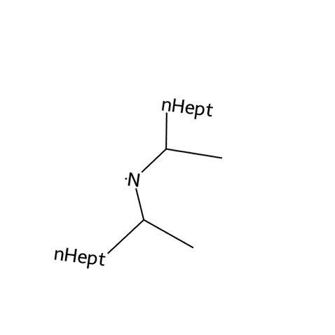 CCCCCCCC(C)[N]C(C)CCCCCCC